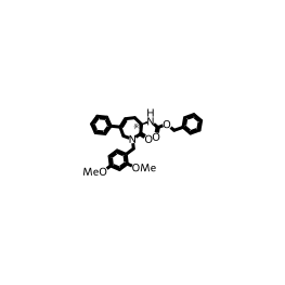 COc1ccc(CN2CC(c3ccccc3)=CC[C@@H](NC(=O)OCc3ccccc3)C2=O)c(OC)c1